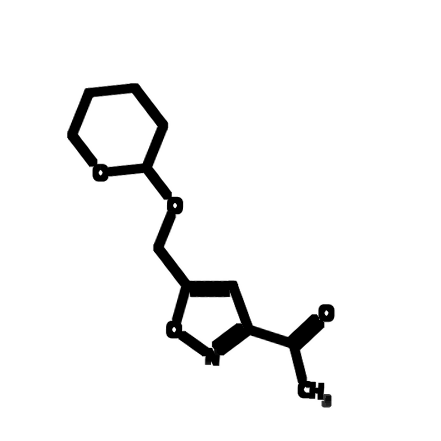 CC(=O)c1cc(COC2CCCCO2)on1